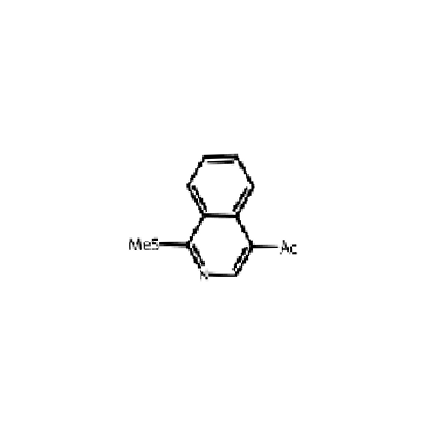 CSc1ncc(C(C)=O)c2ccccc12